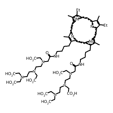 CCC1=C(C)c2cc3[nH]c(cc4nc(cc5[nH]c(cc1n2)c(C)c5CCCCNC(=O)CN(CCN(CCN(CC(=O)O)CC(=O)O)CC(=O)O)CC(=O)O)C(CCCCNC(=O)CN(CCN(CCN(CC(=O)O)CC(=O)O)CC(=O)O)CC(=O)O)=C4C)c(C)c3CC